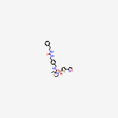 [CH2]CC1(C(=O)NCc2ccc(CNC(=O)NCCc3ccccc3)cc2)SCCN1S(=O)(=O)c1ccc(-c2ccon2)s1